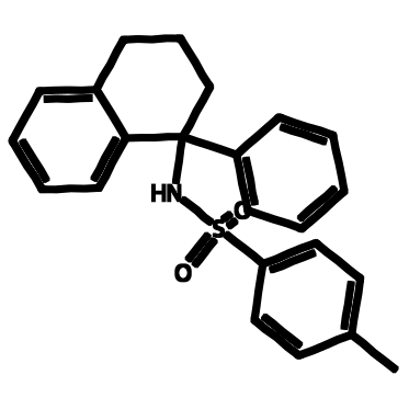 Cc1ccc(S(=O)(=O)NC2(c3ccccc3)CCCc3ccccc32)cc1